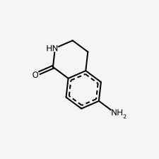 Nc1ccc2c(c1)CCNC2=O